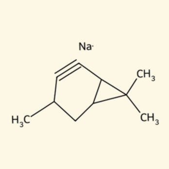 CC1C#CC2C(C1)C2(C)C.[Na]